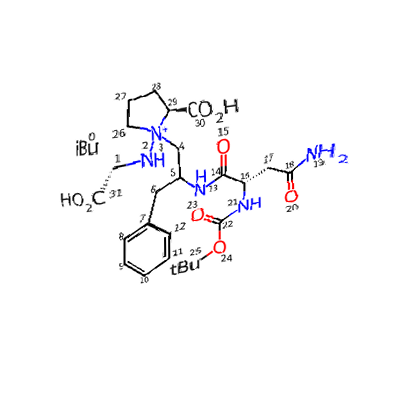 CC[C@H](C)[C@H](N[N+]1(CC(Cc2ccccc2)NC(=O)[C@H](CC(N)=O)NC(=O)OC(C)(C)C)CCC[C@H]1C(=O)O)C(=O)O